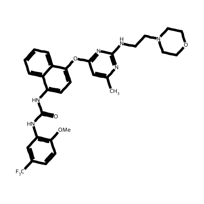 COc1ccc(C(F)(F)F)cc1NC(=O)Nc1ccc(Oc2cc(C)nc(NCCN3CCOCC3)n2)c2ccccc12